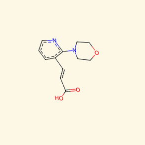 O=C(O)C=Cc1cccnc1N1CCOCC1